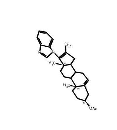 CC(=O)O[C@H]1CC[C@@]2(C)C(=CCC3C2CC[C@]2(C)C(n4cnc5ccccc54)=C(C)CC32)C1